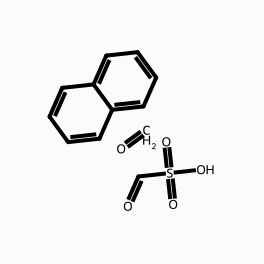 C=O.O=CS(=O)(=O)O.c1ccc2ccccc2c1